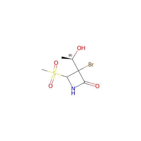 C[C@@H](O)C1(Br)C(=O)NC1S(C)(=O)=O